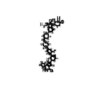 Cn1c(=O)n(C2CCC(=O)NC2=O)c2ccc(N3CCC(CN4CCN(c5ccc(-c6cc(-c7cc8c([nH]7)C7(CCCC7)CNC8=O)ccn6)c(F)c5)CC4)CC3)cc21